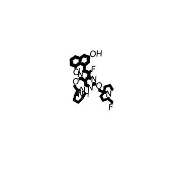 Oc1cc(-c2nc3c4c(nc(OCC56CCCN5C(CF)CC6)nc4c2F)N2CC4CCC(N4)C2CO3)c2c(Cl)cccc2c1